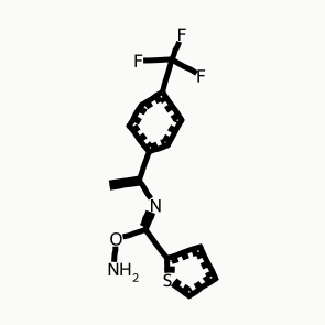 C=C(/N=C(\ON)c1cccs1)c1ccc(C(F)(F)F)cc1